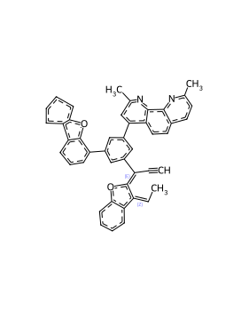 C#C/C(c1cc(-c2cc(C)nc3c2ccc2ccc(C)nc23)cc(-c2cccc3c2oc2ccccc23)c1)=c1/oc2ccccc2/c1=C/C